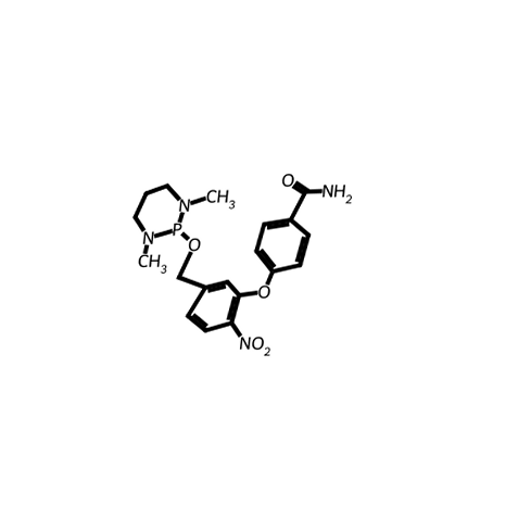 CN1CCCN(C)P1OCc1ccc([N+](=O)[O-])c(Oc2ccc(C(N)=O)cc2)c1